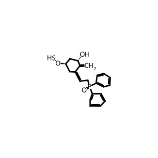 C=C1/C(=C\CP(=O)(c2ccccc2)c2ccccc2)C[C@@H](OS)C[C@@H]1O